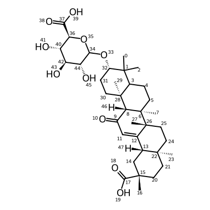 CC1(C)C2CC[C@]3(C)[C@H](C(=O)C=C4[C@H]5C[C@@](C)(C(=O)O)CC[C@]5(C)CC[C@]43C)[C@@]2(C)CC[C@@H]1OC1O[C@H](C(=O)O)[C@@H](O)[C@H](O)[C@H]1O